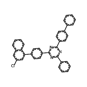 Clc1cc(-c2ccc(-c3nc(-c4ccccc4)nc(-c4ccc(-c5ccccc5)cc4)n3)cc2)c2ccccc2c1